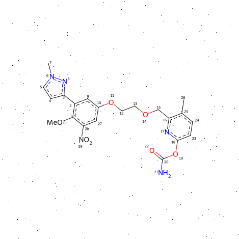 COc1c(-c2ccn(C)n2)cc(OCCOCc2nc(OC(N)=O)ccc2C)cc1[N+](=O)[O-]